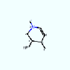 CCC[C@H]1CN(C)C=CC1C